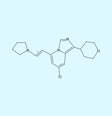 Clc1cc(/C=C/N2CCCC2)n2cnc(C3CCOCC3)c2c1